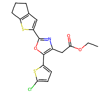 CCOC(=O)Cc1nc(-c2cc3c(s2)CCC3)oc1-c1ccc(Cl)s1